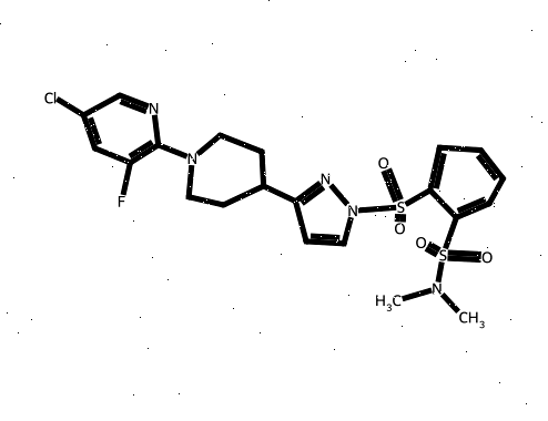 CN(C)S(=O)(=O)c1ccccc1S(=O)(=O)n1ccc(C2CCN(c3ncc(Cl)cc3F)CC2)n1